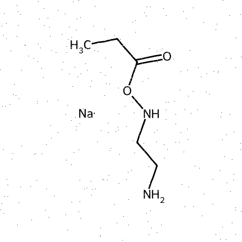 CCC(=O)ONCCN.[Na]